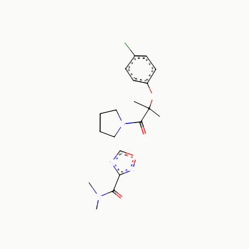 CN(C)C(=O)c1noc([C@@H]2CCCN2C(=O)C(C)(C)Oc2ccc(Cl)cc2)n1